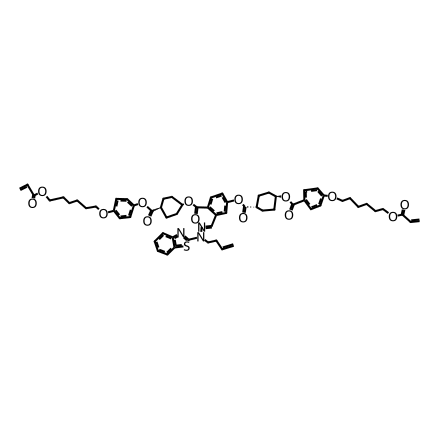 C=CCCN(/N=C/c1cc(OC(=O)[C@H]2CC[C@H](OC(=O)c3ccc(OCCCCCCOC(=O)C=C)cc3)CC2)ccc1C(=O)O[C@H]1CC[C@H](C(=O)Oc2ccc(OCCCCCCOC(=O)C=C)cc2)CC1)c1nc2ccccc2s1